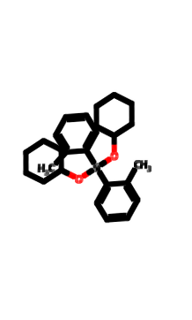 Cc1ccccc1[Si](OC1CCCCC1)(OC1CCCCC1)c1ccccc1C